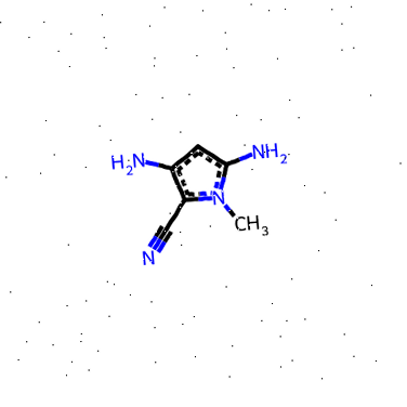 Cn1c(N)cc(N)c1C#N